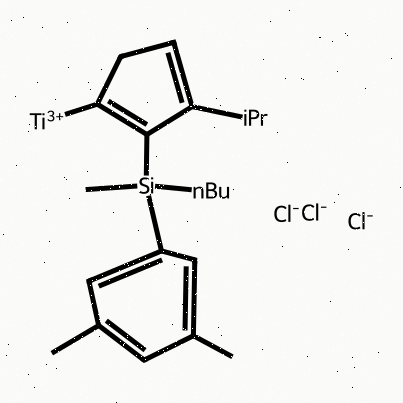 CCCC[Si](C)(C1=[C]([Ti+3])CC=C1C(C)C)c1cc(C)cc(C)c1.[Cl-].[Cl-].[Cl-]